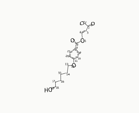 O=C(Cl)/C=C/OC(=O)c1ccc(OCCCCCCO)cc1